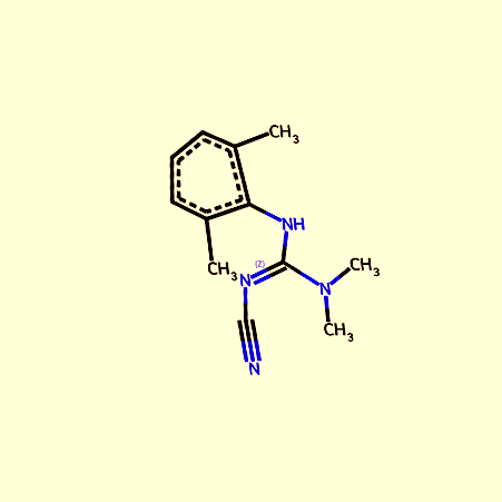 Cc1cccc(C)c1N/C(=N/C#N)N(C)C